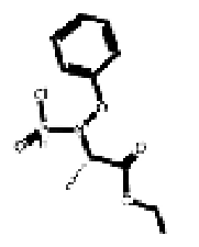 CCOC(=O)[C@H](C)N(Oc1ccccc1)[PH](=O)Cl